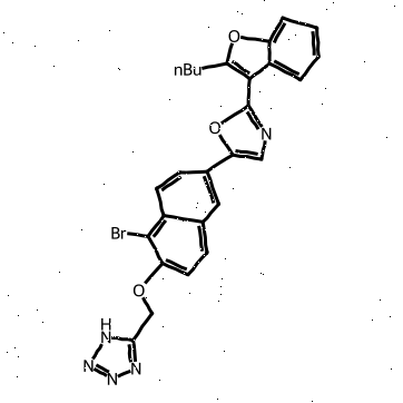 CCCCc1oc2ccccc2c1-c1ncc(-c2ccc3c(Br)c(OCc4nnn[nH]4)ccc3c2)o1